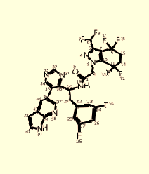 O=C(Cn1nc(C(F)F)c2c1C(F)(F)CCC2(F)F)N[C@@H](Cc1cc(F)cc(F)c1)c1ncncc1-c1cnc2[nH]ccc2c1